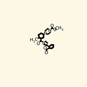 COC(=O)N1CCN(c2ccc(C)c(C(=O)N3CC[C@@]4(C3)OC(=O)c3ccccc34)c2)CC1